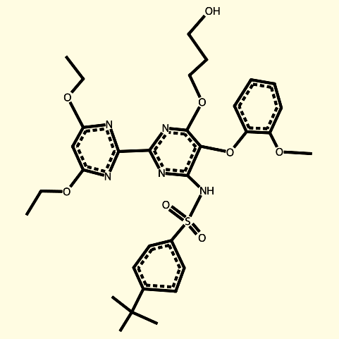 CCOc1cc(OCC)nc(-c2nc(NS(=O)(=O)c3ccc(C(C)(C)C)cc3)c(Oc3ccccc3OC)c(OCCCO)n2)n1